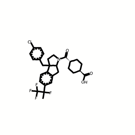 CC(F)(c1ccc2c(c1)CC1N(C(=O)[C@H]3CC[C@H](C(=O)O)CC3)CCC21Cc1ccc(Cl)cc1)C(F)(F)F